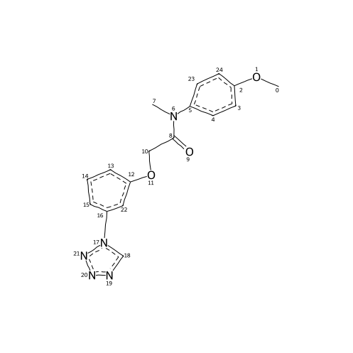 COc1ccc(N(C)C(=O)COc2cccc(-n3cnnn3)c2)cc1